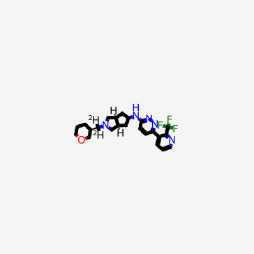 [2H]C([2H])([C@@H]1CCCOC1)N1C[C@H]2CC(Nc3ccc(-c4cccnc4C(F)(F)F)nn3)C[C@H]2C1